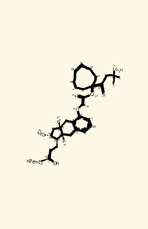 CCCCC[C@H](O)CC[C@@H]1[C@H]2Cc3cccc(OCC(=O)OC4(C(C)CC(C)(C)C(=O)O)CCCCCCC4)c3C[C@H]2C[C@H]1O